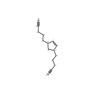 N#CCCCN1C=CN(CCCC#N)C1